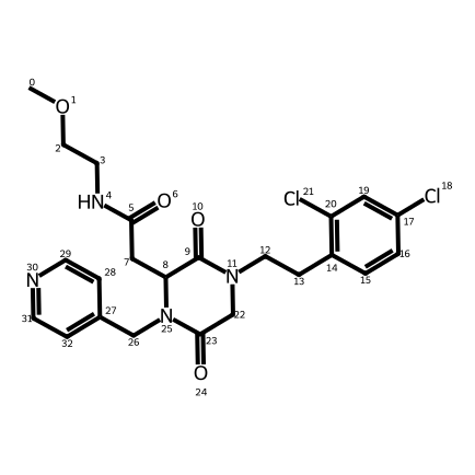 COCCNC(=O)CC1C(=O)N(CCc2ccc(Cl)cc2Cl)CC(=O)N1Cc1ccncc1